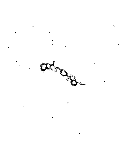 CCOc1cccc(S(=O)(=O)c2ccc(CNC(=O)C3Cc4cnccc4N3)cc2)c1F